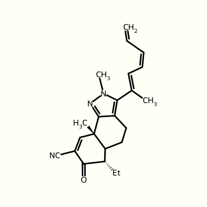 C=C/C=C\C=C(/C)c1c2c(nn1C)[C@@]1(C)C=C(C#N)C(=O)[C@@H](CC)C1CC2